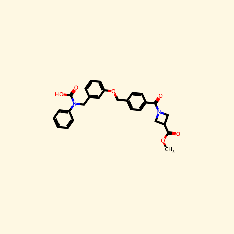 COC(=O)C1CN(C(=O)c2ccc(COc3cccc(CN(C(=O)O)c4ccccc4)c3)cc2)C1